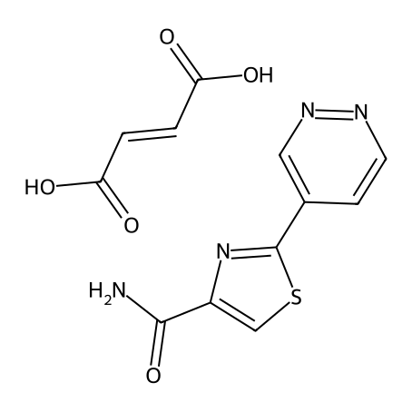 NC(=O)c1csc(-c2ccnnc2)n1.O=C(O)/C=C/C(=O)O